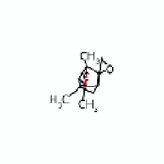 CC1(C)CCCC2(C)C3CCC(C31)C21CO1